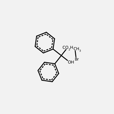 CBr.O=C(O)C(O)(c1ccccc1)c1ccccc1